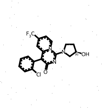 O=c1nc(N2CC[C@@H](O)C2)n2ccc(C(F)(F)F)cc2c1-c1ccccc1Cl